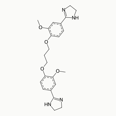 COc1cc(C2=NCCN2)ccc1OCCCOc1ccc(C2=NCCN2)cc1OC